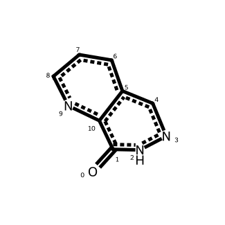 O=c1[nH]ncc2cc[c]nc12